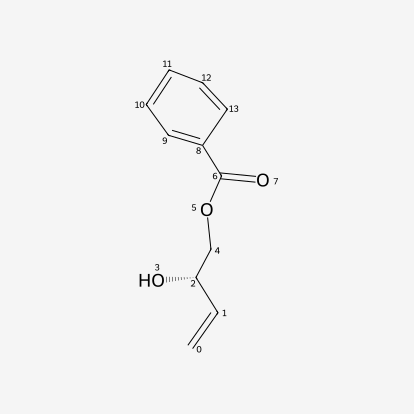 C=C[C@H](O)COC(=O)c1ccccc1